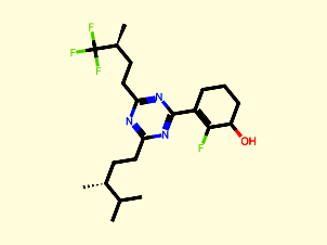 CC(C)[C@H](C)CCc1nc(CC[C@H](C)C(F)(F)F)nc(C2=C(F)C(O)CCC2)n1